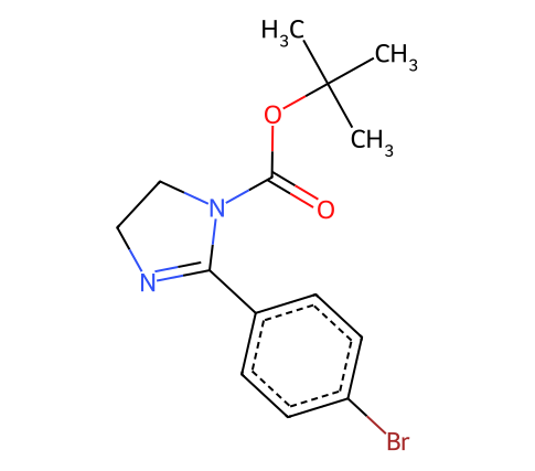 CC(C)(C)OC(=O)N1CCN=C1c1ccc(Br)cc1